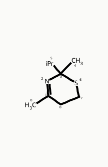 CC1=NC(C)(C(C)C)SCC1